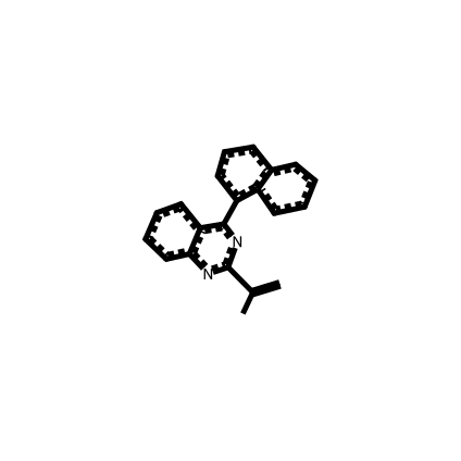 C=C(C)c1nc(-c2cccc3ccccc23)c2ccccc2n1